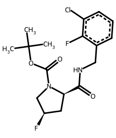 CC(C)(C)OC(=O)N1C[C@H](F)C[C@@H]1C(=O)NCc1cccc(Cl)c1F